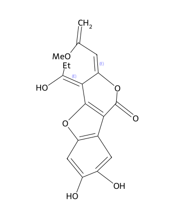 C=C(/C=c1/oc(=O)c2c(oc3cc(O)c(O)cc32)/c1=C(\O)CC)OC